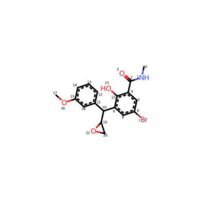 CNC(=O)c1cc(Br)cc(C(c2cccc(OC)c2)C2CO2)c1O